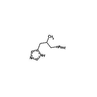 CCCCCCC(C)Cc1cnc[nH]1